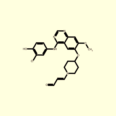 COc1cc2ncnc(Nc3ccc(O)c(Cl)c3)c2cc1OC1CCN(C=CC=O)CC1